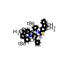 Cc1cc(C(C)(C)C)ccc1N(c1cc(-c2ccccc2)cc(N(c2ccc(C(C)(C)C)cc2)c2c(I)sc3cc4c(cc23)-c2ccccc2C4(C)C)c1C)c1cccc2c1-c1ccccc1C2(C)C